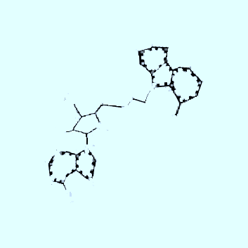 Cc1cccc2c3ccccc3n(CCNCC3OC(n4cnc5c(N)ncnc54)C(O)C3O)c12